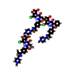 CC(C)CC(NC(=O)c1ccc(-c2csc(N3CCN(C)CC3)n2)cc1)C(=O)N1CC(Cl)C2OCC(=O)C21.CN1CCN(c2nc(-c3ccc(C(=O)NC(C(=O)N4CC(Cl)C5OCC(=O)C54)C4CCCCC4)cc3)cs2)CC1.Cc1sc(N2CCN(C)CC2)nc1-c1ccc(C(=O)NC(CC(C)C)C(=O)N2CC(Cl)C3OCC(=O)C32)cc1